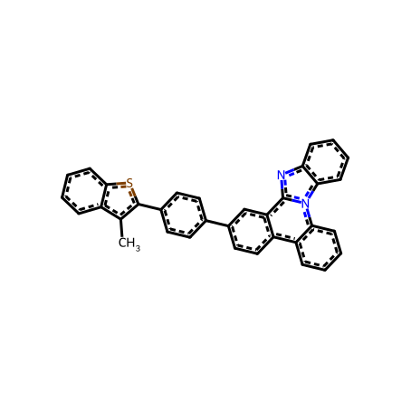 Cc1c(-c2ccc(-c3ccc4c5ccccc5n5c6ccccc6nc5c4c3)cc2)sc2ccccc12